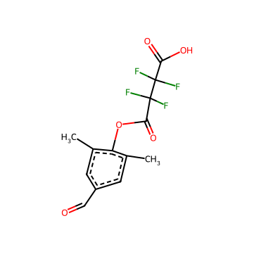 Cc1cc(C=O)cc(C)c1OC(=O)C(F)(F)C(F)(F)C(=O)O